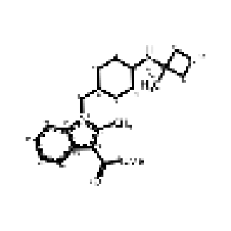 COC(=O)c1c(C)n(CC2CCC(NC3(C)COC3)CC2)c2ccccc12